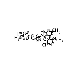 COc1cnc(Cl)cc1-c1cc(C)ncc1C(=O)Nc1nnc(OC[C@@H]2COC(C)(C)CO2)s1